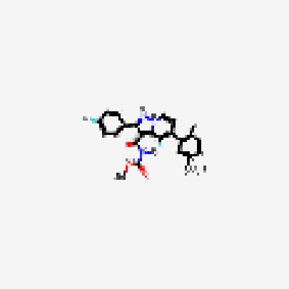 Cc1ccc(C(=O)O)cc1-c1ccn2nc(-c3ccc(F)cc3)c(C(=O)N(C)C(=O)OC(C)(C)C)c2c1F